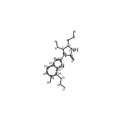 C=C1NC(CCC)C(CC)N1c1nc2c(CCC)c(C)ccc2s1